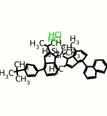 CC1=Cc2c(-c3cccc4ccccc34)ccc(C)c2[CH]1[Zr]([CH3])([CH3])(=[SiH2])[CH]1C(C(C)C)=Cc2c(-c3ccc(C(C)(C)C)cc3)cccc21.Cl.Cl